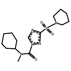 CN(C(=O)n1cnc(S(=O)(=O)N2CCCCC2)n1)C1CCCCC1